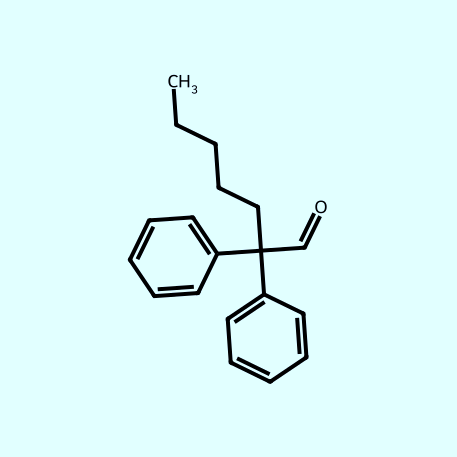 CCCCCC(C=O)(c1ccccc1)c1ccccc1